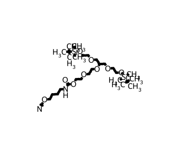 CC(C)(C)[Si](C)(C)OCCOCC(COCCO[Si](C)(C)C(C)(C)C)OCCOCCOC(=O)NCCCCOC#N